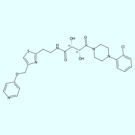 O=C(NCCc1nc(COc2ccncc2)cs1)[C@H](O)[C@@H](O)C(=O)N1CCN(c2ccccc2Cl)CC1